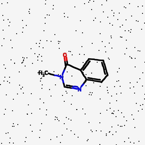 [CH2]n1cnc2ccccc2c1=O